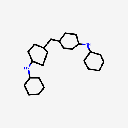 C1CCC(NC2CCC(CC3CCC(NC4CCCCC4)CC3)CC2)CC1